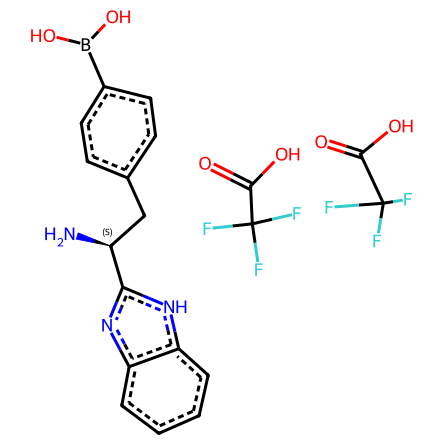 N[C@@H](Cc1ccc(B(O)O)cc1)c1nc2ccccc2[nH]1.O=C(O)C(F)(F)F.O=C(O)C(F)(F)F